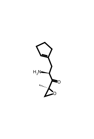 C[C@@]1(C(=O)[C@@H](N)CC2=CCCC2)CO1